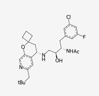 CC(=O)N[C@@H](Cc1cc(F)cc(Cl)c1)[C@@H](O)CN[C@H]1CC2(CCC2)Oc2cnc(CC(C)(C)C)cc21